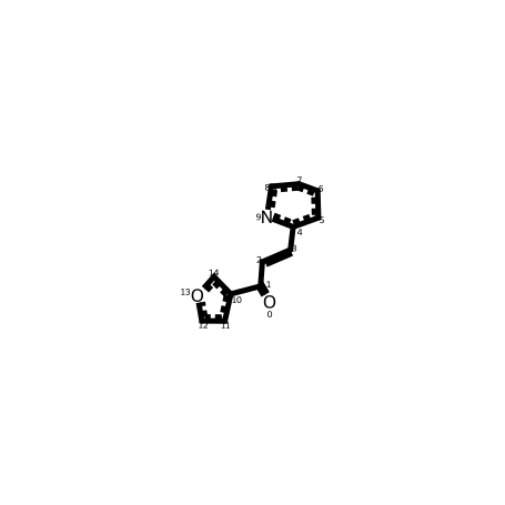 O=C(C=Cc1ccccn1)c1ccoc1